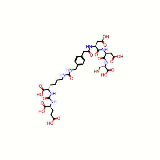 O=C(O)CC[C@H](NC(=O)N[C@@H](CCCCNC(=O)NCc1ccc(CC(=O)N[C@@H](CC(=O)O)C(=O)N[C@@H](CC(=O)O)C(=O)N[C@@H](CS)C(=O)O)cc1)C(=O)O)C(=O)O